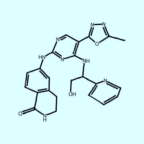 Cc1nnc(-c2cnc(Nc3ccc4c(c3)CCNC4=O)nc2NC(CO)c2ccccn2)o1